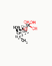 C=C.C=C.C=C.C=C.[OH][Ti]([OH])([OH])[OH]